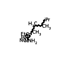 CCC(=O)NC(CSC/C=C(\C)CCCC(C)CCCC(C)CCCC(C)C)/C(N)=N\C#N